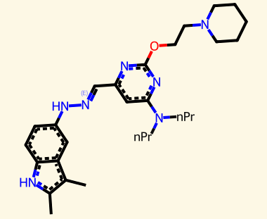 CCCN(CCC)c1cc(/C=N/Nc2ccc3[nH]c(C)c(C)c3c2)nc(OCCN2CCCCC2)n1